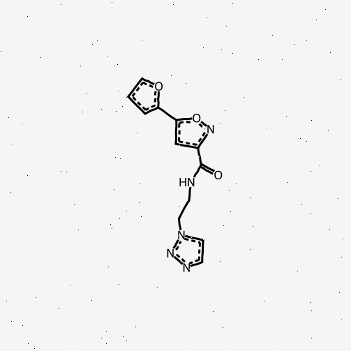 O=C(NCCn1ccnn1)c1cc(-c2ccco2)on1